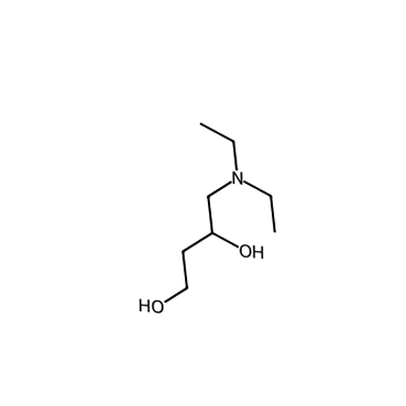 CCN(CC)CC(O)CCO